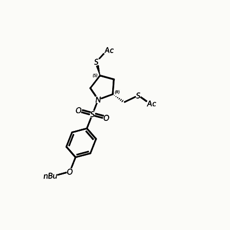 CCCCOc1ccc(S(=O)(=O)N2C[C@@H](SC(C)=O)C[C@@H]2CSC(C)=O)cc1